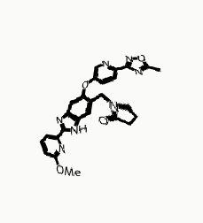 COc1cccc(-c2nc3cc(Oc4ccc(-c5noc(C)n5)nc4)c(CN4CCCC4=O)cc3[nH]2)n1